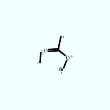 CC.CC(=O)OBr